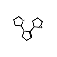 C1=C(C2CCCN2)N(C2CCC[N]2)CC1